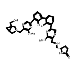 COc1nc(-c2cccc(-c3cccc(-c4cnc(CN5CC6CC6(CO)C5)c(OC)n4)c3Cl)c2Cl)cnc1CNC[C@@H]1CCC(=O)N1